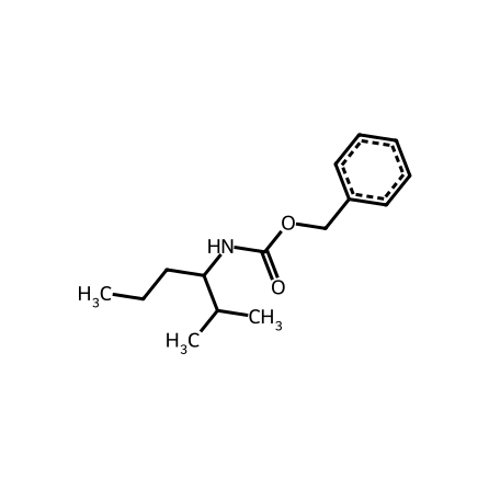 CCCC(NC(=O)OCc1ccccc1)C(C)C